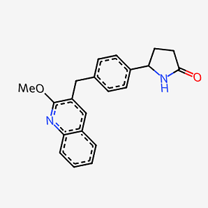 COc1nc2ccccc2cc1Cc1ccc(C2CCC(=O)N2)cc1